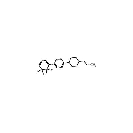 CCCC1CCC(c2ccc(C3=CC=CC(F)(F)C3(F)F)cc2)CC1